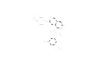 Cc1c(C#N)cc(F)cc1[C@@H](N)Nc1nnc(C)c2cnc(N3CCC(C)(N(C)C)CC3)cc12